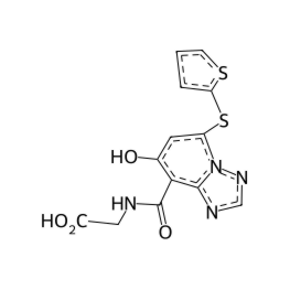 O=C(O)CNC(=O)c1c(O)cc(Sc2cccs2)n2ncnc12